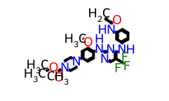 C=CC(=O)Nc1cccc(Nc2nc(Nc3ccc(N4CCN(C(=O)OC(C)(C)C)CC4)cc3OC)ncc2C(F)(F)F)c1